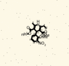 CCCOC(=O)C1=C(C)NC(CF)=C(C(=O)OC)C1c1cccc([N+](=O)[O-])c1OC